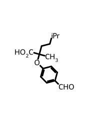 CC(C)CCC(C)(Oc1ccc(C=O)cc1)C(=O)O